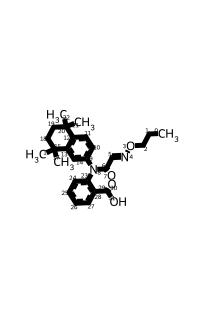 CCCON=CC(=O)N(c1ccc2c(c1)C(C)(C)CCC2(C)C)c1ccccc1C(=O)O